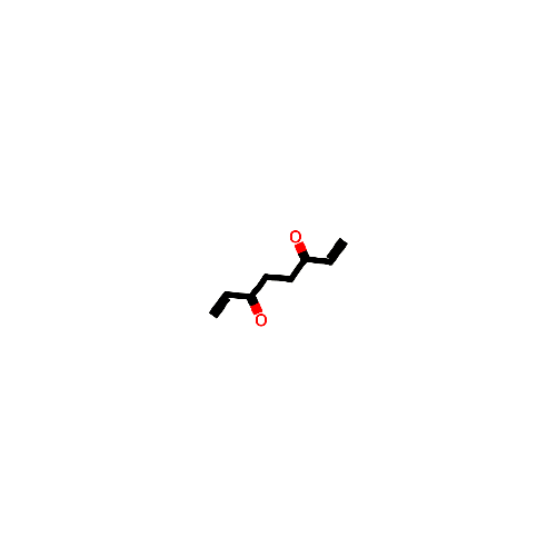 C=CC(=O)CCC(=O)C=C